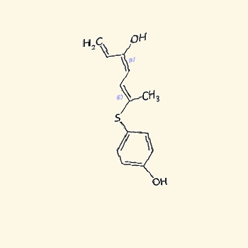 C=C/C(O)=C\C=C(/C)Sc1ccc(O)cc1